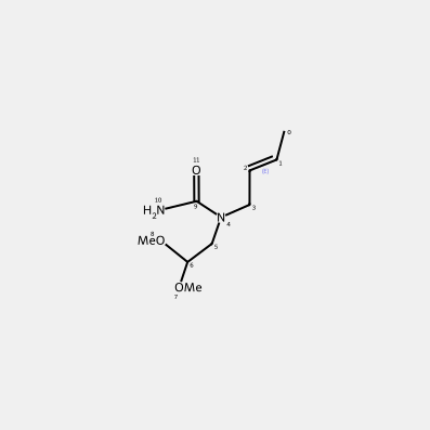 C/C=C/CN(CC(OC)OC)C(N)=O